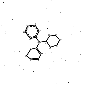 C1=CCCC(B(c2ccccc2)C2CCCCC2)=C1